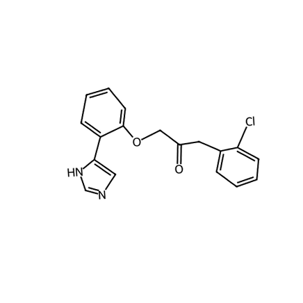 O=C(COc1ccccc1-c1cnc[nH]1)Cc1ccccc1Cl